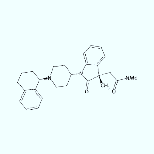 CNC(=O)C[C@]1(C)C(=O)N(C2CCN([C@@H]3CCCc4ccccc43)CC2)c2ccccc21